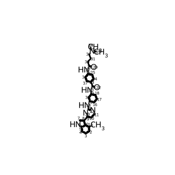 Cc1cccc2[nH]cc(-c3ccnc(Nc4cccc(NC(=O)c5ccc(NC(=O)CCCN(C)C)cc5)c4)n3)c12